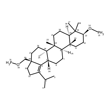 CC(C)C1=C2[C@H]3CC[C@@H]4[C@@]5(C)CC[C@H](OP)C(C)(C)[C@@H]5CC[C@@]4(C)[C@]3(C)CC[C@@]2(COP)CC1